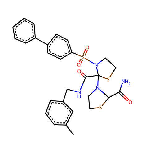 Cc1cccc(CNC(=O)C2(N3CCSC3C(N)=O)SCCN2S(=O)(=O)c2ccc(-c3ccccc3)cc2)c1